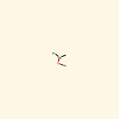 CC(=O)[O][Hg]([CH3])[CH](C)C